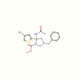 COC(=O)C1CN(Cc2ccccc2)CC1(NC(=O)I)c1cc(Br)cs1